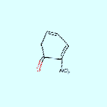 O=C1CC=CC=C1[N+](=O)[O-]